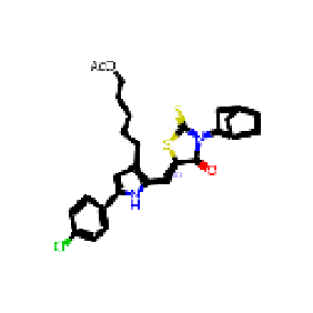 CC(=O)OCCCCCc1cc(-c2ccc(Cl)cc2)[nH]c1/C=C1\SC(=S)N(C2CC3CCC2C3)C1=O